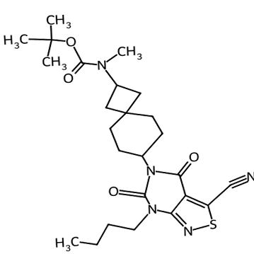 CCCCn1c(=O)n(C2CCC3(CC2)CC(N(C)C(=O)OC(C)(C)C)C3)c(=O)c2c(C#N)snc21